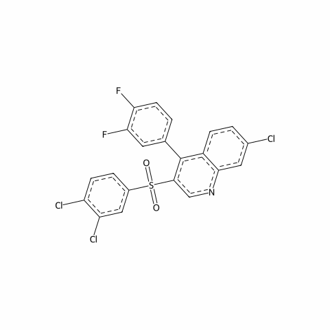 O=S(=O)(c1ccc(Cl)c(Cl)c1)c1cnc2cc(Cl)ccc2c1-c1ccc(F)c(F)c1